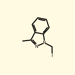 Cc1nn(CI)c2ccccc12